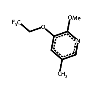 COc1ncc(C)cc1OCC(F)(F)F